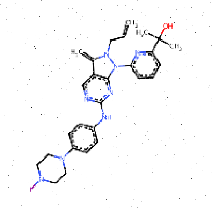 C=CCN1C(=C)c2cnc(Nc3ccc(N4CCN(I)CC4)cc3)nc2N1c1cccc(C(C)(C)O)n1